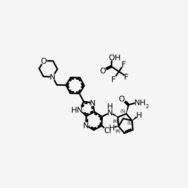 NC(=O)[C@@H]1[C@H](Nc2c(Cl)cnc3[nH]c(-c4cccc(CN5CCOCC5)c4)nc23)[C@H]2C=C[C@@H]1C2.O=C(O)C(F)(F)F